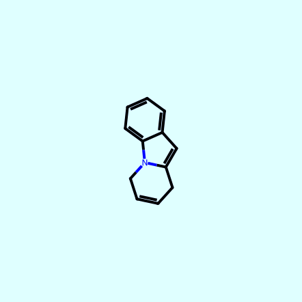 C1=CCn2c(cc3ccccc32)C1